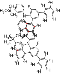 [2H]c1c([2H])c([2H])c(-c2cc(F)c(N(c3cccc([Si](C)(C)C)c3)c3ccc4ccc5c(N(c6cccc([Si](C)(C)C)c6)c6c(F)cc(-c7c([2H])c([2H])c([2H])c([2H])c7[2H])cc6-c6c([2H])c([2H])c([2H])c([2H])c6[2H])ccc6ccc3c4c65)c(-c3c([2H])c([2H])c([2H])c([2H])c3[2H])c2)c([2H])c1[2H]